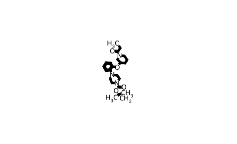 CCC(=O)N1CCCC(Oc2ccccc2N2CCN(C(=O)OC(C)(C)C)CC2)C1